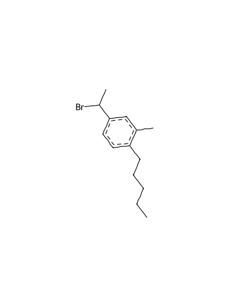 CCCCCc1ccc(C(C)Br)cc1C